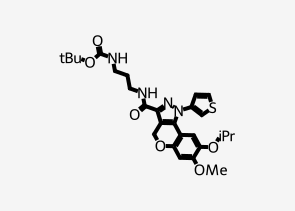 COc1cc2c(cc1OC(C)C)-c1c(c(C(=O)NCCCNC(=O)OC(C)(C)C)nn1-c1ccsc1)CO2